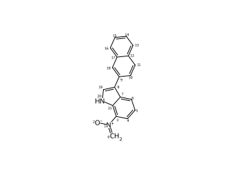 C=[N+]([O-])c1cccc2c(-c3ccc4ccccc4c3)c[nH]c12